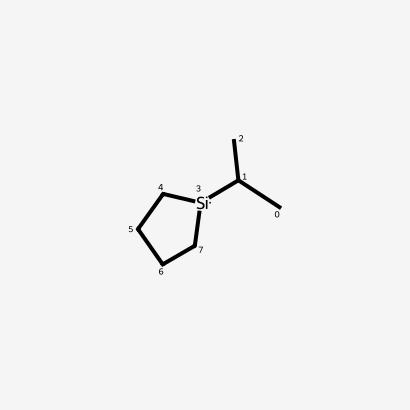 CC(C)[Si]1CCCC1